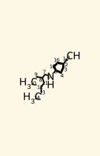 C#Cc1ccc(NCC(CC)CCCC)cc1